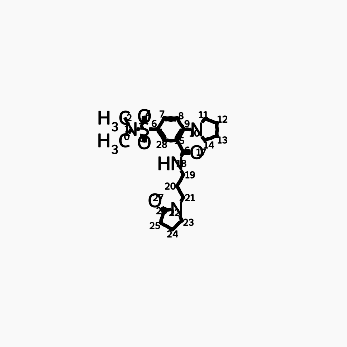 CN(C)S(=O)(=O)c1ccc(N2CCCC2)c(C(=O)NCCCN2CCCC2=O)c1